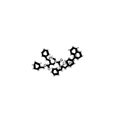 CC(C)CN(CC(CCc1ccccc1)C(=O)OCc1ccccc1)C(=O)N[C@@](Cc1ccccc1)(Cc1ccc(-c2cccc3ccccc23)cc1)C(=O)O